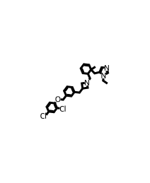 CCn1cncc1CC1(C)C=CC=CC1CN1CC(Cc2cccc(COc3ccc(Cl)cc3Cl)c2)C1